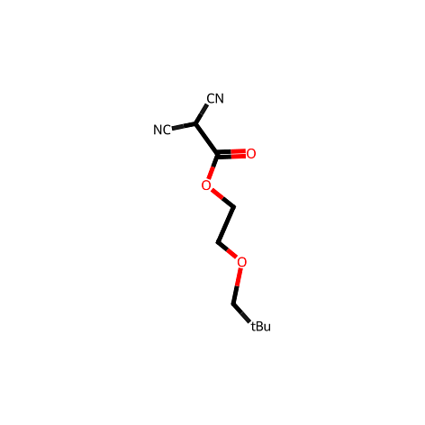 CC(C)(C)COCCOC(=O)C(C#N)C#N